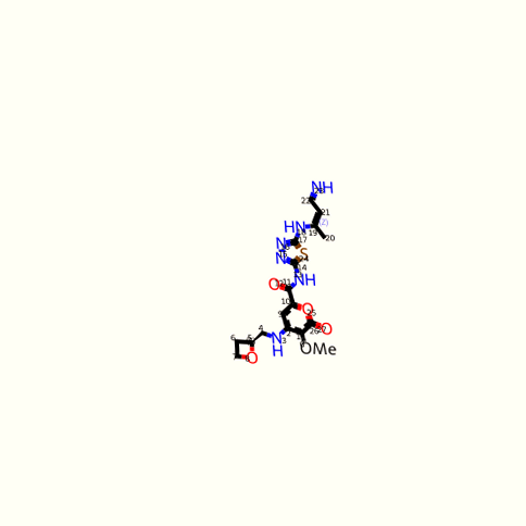 COc1c(NC[C@@H]2CCO2)cc(C(=O)Nc2nnc(N/C(C)=C\C=N)s2)oc1=O